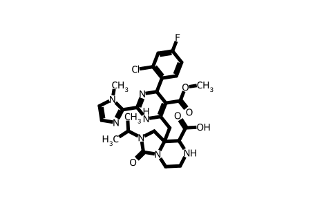 COC(=O)C1=C(CC23CN(C(C)C)C(=O)N2CCNC3C(=O)O)NC(c2nccn2C)=NC1c1ccc(F)cc1Cl